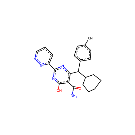 N#Cc1ccc(C(c2nc(-c3cccnn3)nc(O)c2C(N)=O)C2CCCCC2)cc1